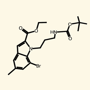 CCOC(=O)c1cc2cc(C)cc(Br)c2n1CCCNC(=O)OC(C)(C)C